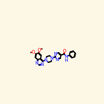 COc1cc2ncnc(N3CCN(c4ncc(C(=O)Nc5ccccc5)cn4)CC3)c2cc1OC